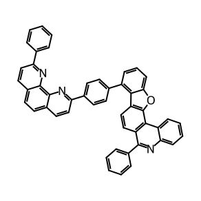 c1ccc(-c2ccc3ccc4ccc(-c5ccc(-c6cccc7oc8c(ccc9c(-c%10ccccc%10)nc%10ccccc%10c98)c67)cc5)nc4c3n2)cc1